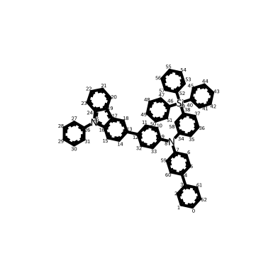 c1ccc(-c2ccc(N(c3ccc(-c4ccc5c(c4)c4ccccc4n5-c4ccccc4)cc3)c3cccc([Si](c4ccccc4)(c4ccccc4)c4ccccc4)c3)cc2)cc1